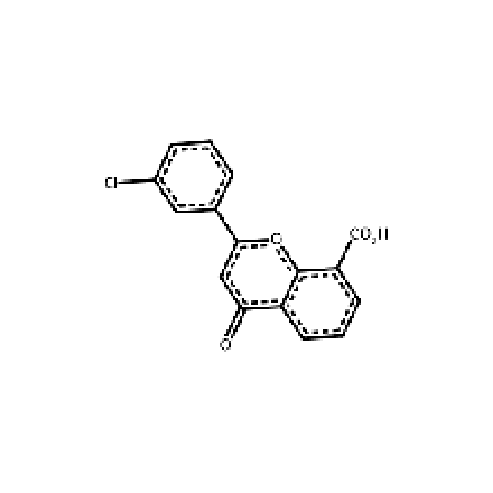 O=C(O)c1cccc2c(=O)cc(-c3cccc(Cl)c3)oc12